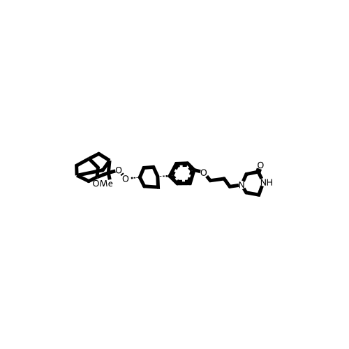 COC1(OO[C@H]2CC[C@@H](c3ccc(OCCCN4CCNC(=O)C4)cc3)CC2)C2CC3CC(C2)CC1C3